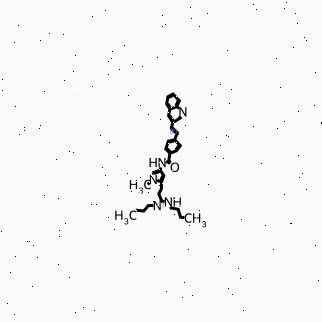 CCCC/N=C(\CCc1cc(NC(=O)c2ccc(/C=C/c3cnc4ccccc4c3)cc2)cn1C)NCCCC